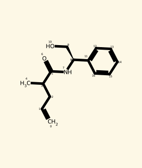 C=CCC(C)C(=O)N[C@@H](CO)c1ccccc1